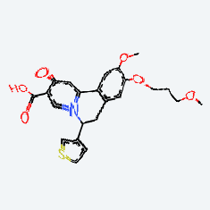 COCCCOc1cc2c(cc1OC)-c1cc(=O)c(C(=O)O)cn1C(c1ccsc1)C2